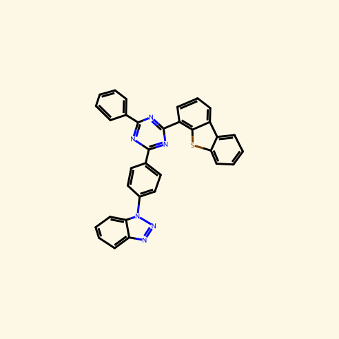 c1ccc(-c2nc(-c3ccc(-n4nnc5ccccc54)cc3)nc(-c3cccc4c3sc3ccccc34)n2)cc1